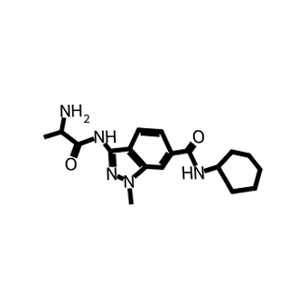 CC(N)C(=O)Nc1nn(C)c2cc(C(=O)NC3CCCCC3)ccc12